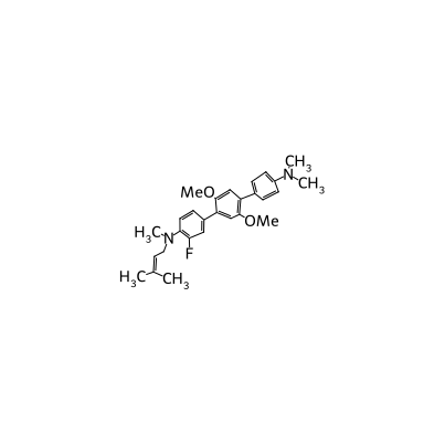 COc1cc(-c2ccc(N(C)CC=C(C)C)c(F)c2)c(OC)cc1-c1ccc(N(C)C)cc1